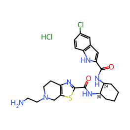 Cl.NCCN1CCc2nc(C(=O)N[C@@H]3CCCC[C@@H]3NC(=O)c3cc4cc(Cl)ccc4[nH]3)sc2C1